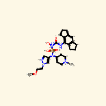 COCCn1cc(N(C2CCN(C)CC2)S(=O)(=O)[NH+]([O-])C(=O)Nc2c3c(cc4c2CCC4)CCC3)cn1